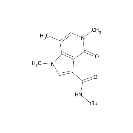 Cc1cn(C)c(=O)c2c(C(=O)NC(C)(C)C)cn(C)c12